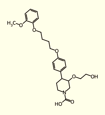 COc1ccccc1OCCCCOc1ccc(C2CCN(C(=O)O)CC2OCCO)cc1